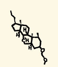 CCC[C@@H]1CC[C@H]2[C@@H]3CC[C@H]4CC(OCOC)C[C@H](C)[C@]4(C)[C@H]3CC[C@]12C